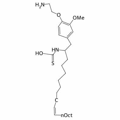 CCCCCCCC/C=C\CCCCCCCC(Cc1ccc(OCCN)c(OC)c1)NC(O)=S